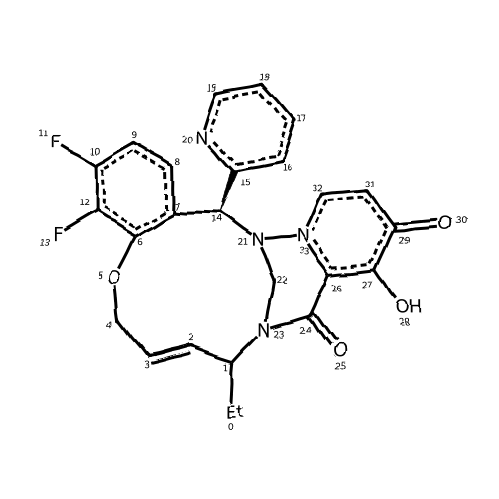 CCC1/C=C/COc2c(ccc(F)c2F)[C@@H](c2ccccn2)N2CN1C(=O)c1c(O)c(=O)ccn12